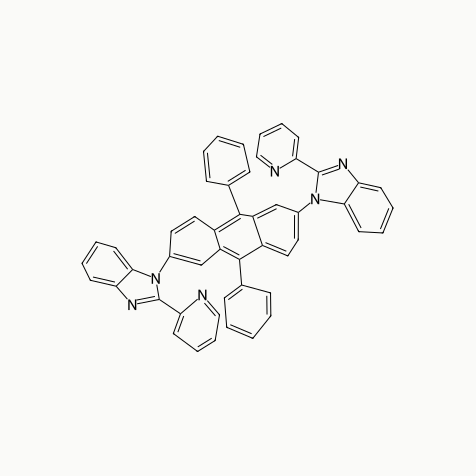 c1ccc(-c2c3ccc(-n4c(-c5ccccn5)nc5ccccc54)cc3c(-c3ccccc3)c3ccc(-n4c(-c5ccccn5)nc5ccccc54)cc23)cc1